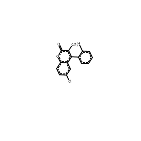 Cc1ccccc1-c1c(C(=O)O)c(=O)oc2ccc(Cl)cc12